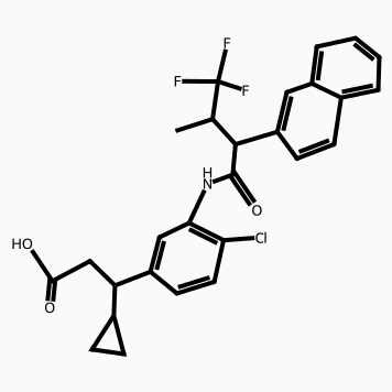 CC(C(C(=O)Nc1cc(C(CC(=O)O)C2CC2)ccc1Cl)c1ccc2ccccc2c1)C(F)(F)F